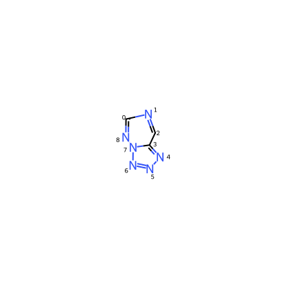 [c]1ncc2nnnn2n1